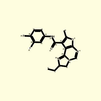 CCC1CN2C=Nc3oc(C)c(C(=O)Nc4ccc(F)c(F)c4)c3C2=N1